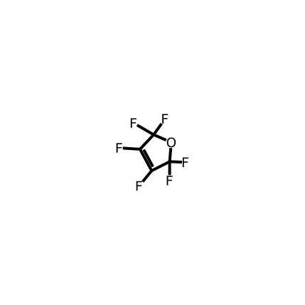 FC1=C(F)C(F)(F)OC1(F)F